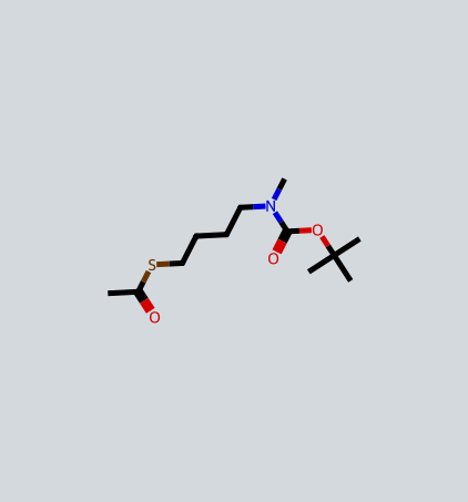 CC(=O)SCCCCN(C)C(=O)OC(C)(C)C